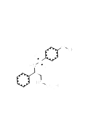 O=C(O)NC[C@H](NS(=O)(=O)c1ccc(OC(F)(F)F)cc1)c1ccccc1